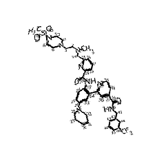 CN(CCN1CCN(S(C)(=O)=O)CC1)Cc1cccc(C(=O)Nc2ccc(N3CCCCC3)cc2-c2cc(C(=O)NCc3cccc(C(F)(F)F)c3)ccn2)n1